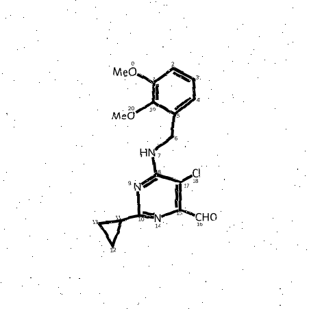 COc1cccc(CNc2nc(C3CC3)nc(C=O)c2Cl)c1OC